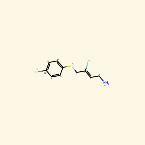 NC/C=C(\F)CSc1ccc(Cl)cc1